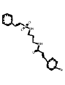 O=C(C=Cc1ccc(Br)cc1)NCCCNS(=O)(=O)C=Cc1ccccc1